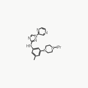 Cc1cc(Nc2ncn(-c3cnccn3)n2)cc(N2CCN(C(C)C)CC2)c1